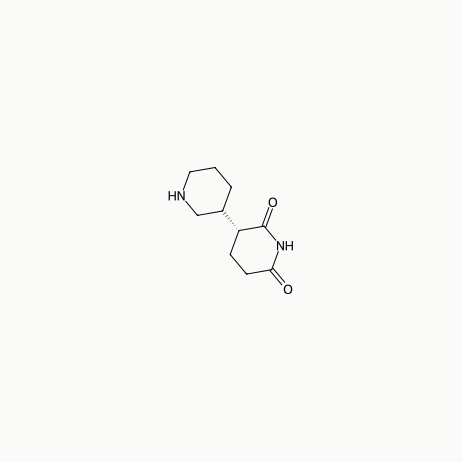 O=C1CC[C@H](C2CCCNC2)C(=O)N1